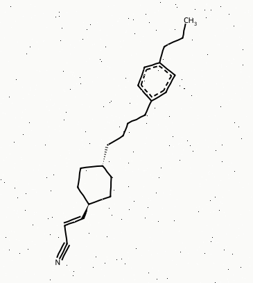 CCCc1ccc(CCCC[C@H]2CC[C@H](C=CC#N)CC2)cc1